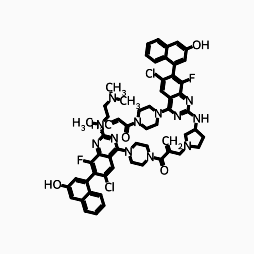 C=CC(=O)N1CCN(c2nc(NC3CCN(CC(=C)C(=O)N4CCN(c5nc(N(C)CCN(C)C)nc6c(F)c(-c7cc(O)cc8ccccc78)c(Cl)cc56)CC4)C3)nc3c(F)c(-c4cc(O)cc5ccccc45)c(Cl)cc23)CC1